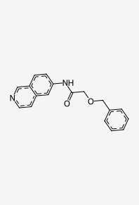 O=C(COCc1ccccc1)Nc1ccc2cnccc2c1